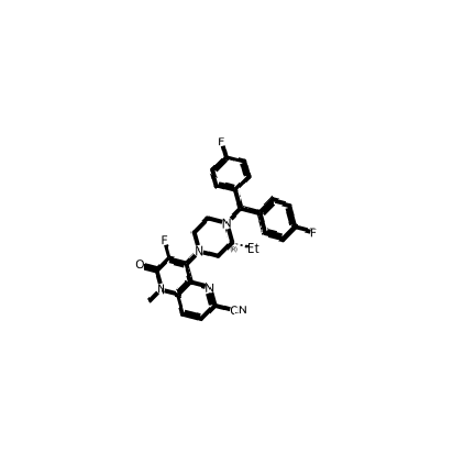 CC[C@@H]1CN(c2c(F)c(=O)n(C)c3ccc(C#N)nc23)CCN1C(c1ccc(F)cc1)c1ccc(F)cc1